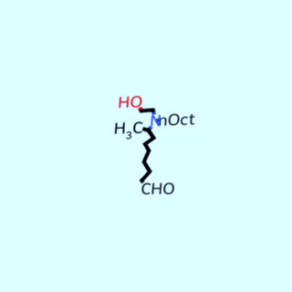 CCCCCCCCN(CCO)C(C)CCCCCCC=O